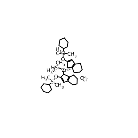 C[SiH](C)[Zr+2]([CH]1C(O[Si](C)(C)C2CCCCC2)=CC2=C1CCCC2)[CH]1C(O[Si](C)(C)C2CCCCC2)=CC2=C1CCCC2.[Cl-].[Cl-]